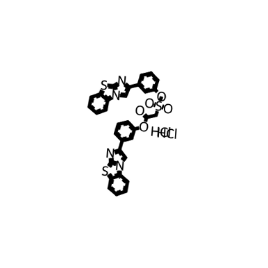 Cl.Cl.O=C(CS(=O)(=O)Oc1cccc(-c2cn3c(n2)sc2ccccc23)c1)Oc1cccc(-c2cn3c(n2)sc2ccccc23)c1